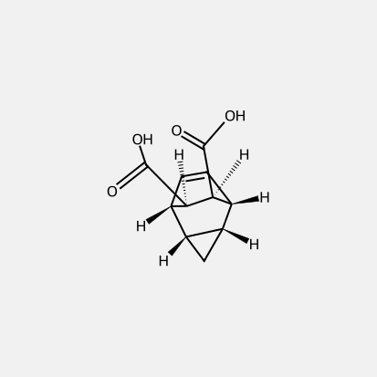 O=C(O)[C@@H]1[C@H]2C=C[C@H]([C@@H]3C[C@H]23)[C@@H]1C(=O)O